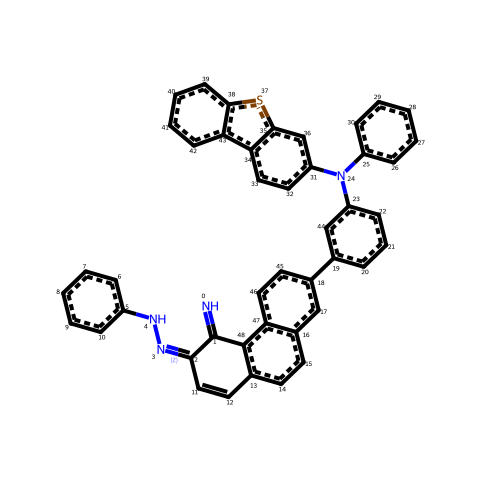 N=C1/C(=N\Nc2ccccc2)C=Cc2ccc3cc(-c4cccc(N(c5ccccc5)c5ccc6c(c5)sc5ccccc56)c4)ccc3c21